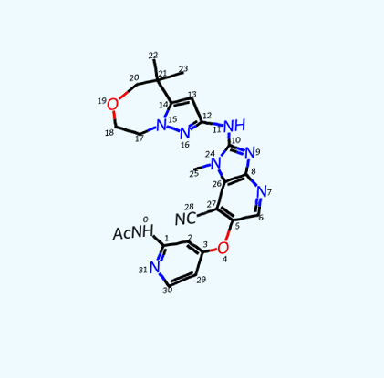 CC(=O)Nc1cc(Oc2cnc3nc(Nc4cc5n(n4)CCOCC5(C)C)n(C)c3c2C#N)ccn1